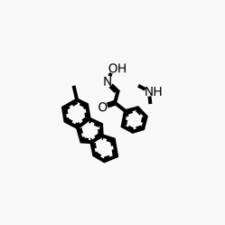 CNC.Cc1ccc2cc3ccccc3cc2c1.O=C(C=NO)c1ccccc1